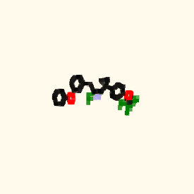 F/C(=C/C1(c2ccc(OC(F)(F)F)cc2)CC1)Cc1cccc(Oc2ccccc2)c1